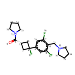 O=C([C@H]1C[C@@](F)(c2cc(F)c(CN3CCCC3)c(F)c2)C1)N1CCCC1